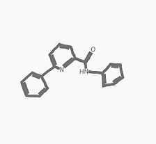 O=C(Nc1ccccc1)c1cccc(-c2ccccc2)n1